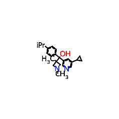 CC(C)c1ccc(C(O)(c2cncc(C3CC3)c2)C2(C)CN(C)C2)cc1